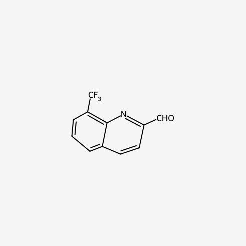 O=Cc1ccc2cccc(C(F)(F)F)c2n1